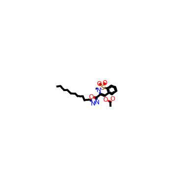 CCCCCCCCCc1nnc(C2=C(OC(C)=O)c3ccccc3S(=O)(=O)N2C)o1